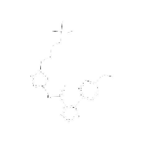 COc1ccc(-c2ocnc2C(=O)Nc2cnn(CCCCC(C)(F)F)c2)cc1